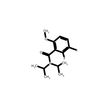 COc1ccc(I)c(F)c1C(=O)N(C(C)C)C(C)C